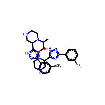 CC(C(=O)C(C)N1CCNCC1c1nc(-c2cccc(C(F)(F)F)c2)n[nH]1)N1CCNCC1c1nc(-c2cccc(C(F)(F)F)c2)n[nH]1